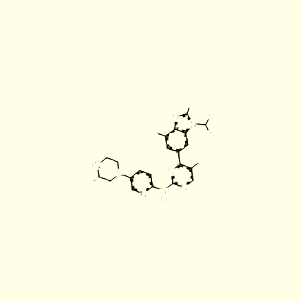 Cc1nc2c(F)cc(-c3nc(Nc4ccc(N5CCN[C@H](C)C5)cn4)ncc3F)cc2n1C(C)C